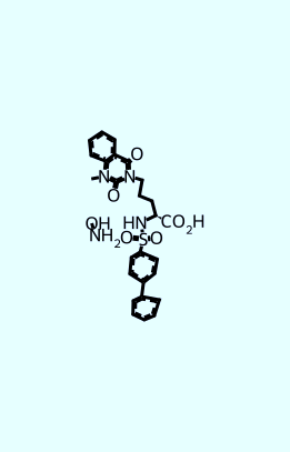 Cn1c(=O)n(CCC[C@@H](NS(=O)(=O)c2ccc(-c3ccccc3)cc2)C(=O)O)c(=O)c2ccccc21.NO